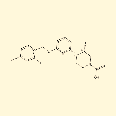 O=C(O)N1CC[C@H](c2cccc(OCc3ccc(Cl)cc3F)n2)[C@@H](F)C1